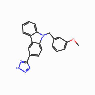 COc1cccc(Cn2c3ccccc3c3cc(-c4nn[nH]n4)ccc32)c1